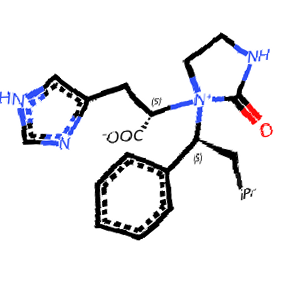 CC(C)C[C@@H](c1ccccc1)[N+]1([C@@H](Cc2c[nH]cn2)C(=O)[O-])CCNC1=O